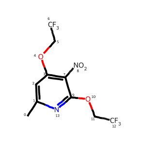 Cc1cc(OCC(F)(F)F)c([N+](=O)[O-])c(OCC(F)(F)F)n1